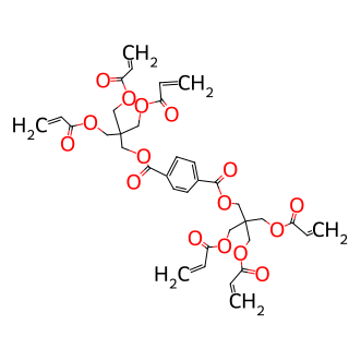 C=CC(=O)OCC(COC(=O)C=C)(COC(=O)C=C)COC(=O)c1ccc(C(=O)OCC(COC(=O)C=C)(COC(=O)C=C)COC(=O)C=C)cc1